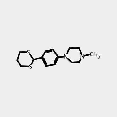 CN1CCN(c2ccc(C3SCCCS3)cc2)CC1